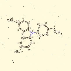 C=Cc1ccc(-n2c3ccc(C(C)(C)C)cc3c3cc(C(C)(C)C)ccc32)cc1